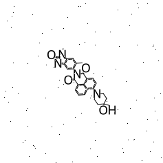 Cc1cc2c(cc1N1C(=O)c3cccc4c(N5CCC(C)(O)CC5)ccc(c34)C1=O)n(C)c(=O)n2C